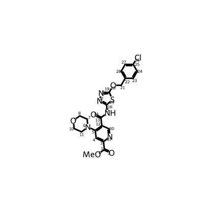 COC(=O)c1cc(N2CCOCC2)c(C(=O)Nc2nnc(OCc3ccc(Cl)cc3)s2)cn1